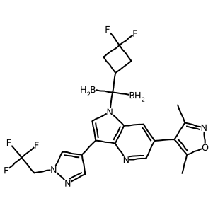 BC(B)(C1CC(F)(F)C1)n1cc(-c2cnn(CC(F)(F)F)c2)c2ncc(-c3c(C)noc3C)cc21